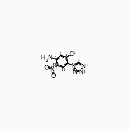 Nc1cc(Cl)c(-n2cnnn2)cc1[N+](=O)[O-]